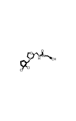 C#CCNC(=O)NC[C@H]1CN(Cc2cccc(Cl)c2Cl)CCO1